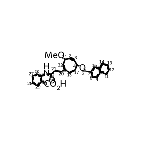 COC1C#CC(OCc2ccc3ccccc3c2)\C=C/C(/C=C/C(=O)Nc2ccccc2C(=O)O)=C\1